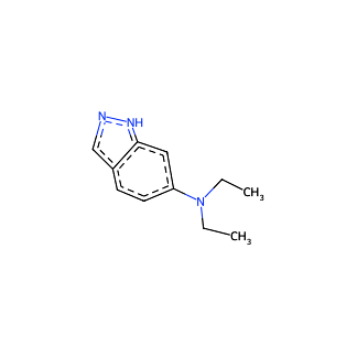 CCN(CC)c1ccc2cn[nH]c2c1